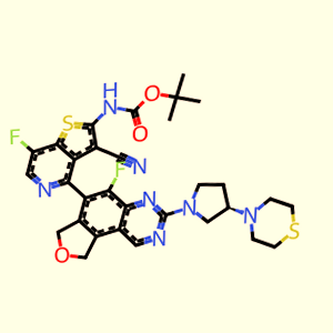 CC(C)(C)OC(=O)Nc1sc2c(F)cnc(-c3c4c(c5cnc(N6CC[C@@H](N7CCSCC7)C6)nc5c3F)COC4)c2c1C#N